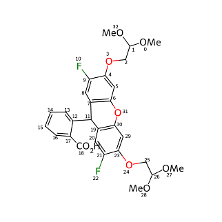 COC(COc1cc2c(cc1F)C(c1ccccc1C(=O)O)c1cc(F)c(OCC(OC)OC)cc1O2)OC